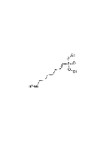 CCCCCCCCCCCCCCC=CP(=O)(OCC)OCC